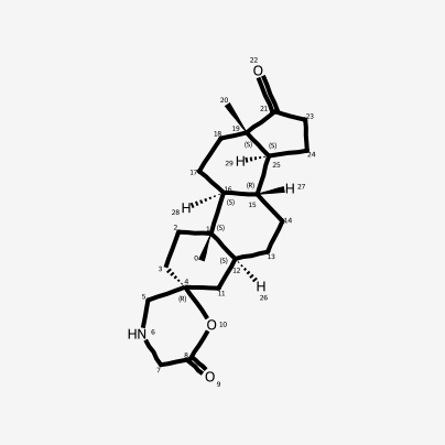 C[C@]12CC[C@]3(CNCC(=O)O3)C[C@@H]1CC[C@@H]1[C@@H]2CC[C@]2(C)C(=O)CC[C@@H]12